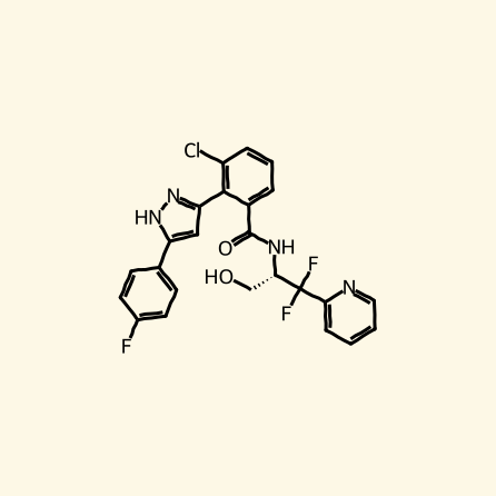 O=C(N[C@@H](CO)C(F)(F)c1ccccn1)c1cccc(Cl)c1-c1cc(-c2ccc(F)cc2)[nH]n1